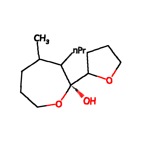 CCCC1C(C)CCCO[C@]1(O)C1CCCO1